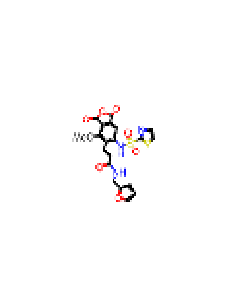 COc1c(/C=C/C(=O)NCc2ccco2)c(NS(=O)(=O)c2nccs2)cc2c1C(=O)OC2=O